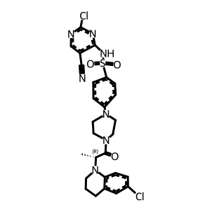 C[C@H](C(=O)N1CCN(c2ccc(S(=O)(=O)Nc3nc(Cl)ncc3C#N)cc2)CC1)N1CCCc2cc(Cl)ccc21